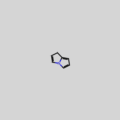 [C]1=[C]n2cccc2[CH]1